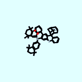 CC1(C)CCC(C)(C)c2cc(N(c3ccc4c(c3)C(C)(C)CCC4(C)C)c3cc4c(cc3-c3ccccc3)C3(c5ccccc5S4)C4CC5CC6CC3C64C5)ccc21